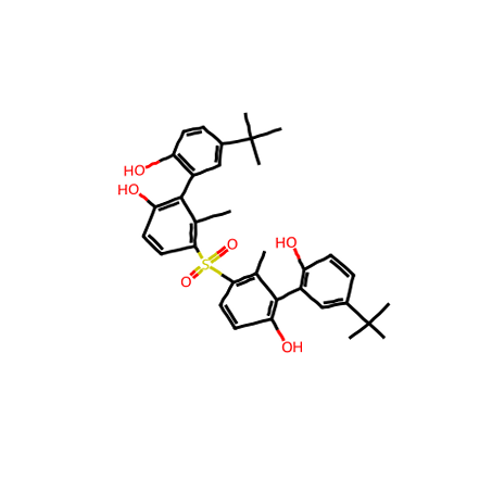 Cc1c(S(=O)(=O)c2ccc(O)c(-c3cc(C(C)(C)C)ccc3O)c2C)ccc(O)c1-c1cc(C(C)(C)C)ccc1O